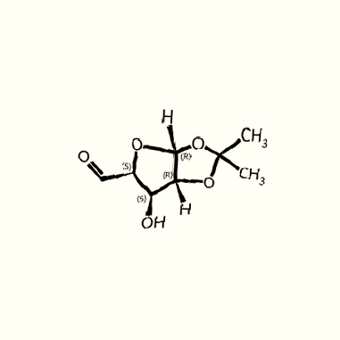 CC1(C)O[C@H]2O[C@H](C=O)[C@H](O)[C@H]2O1